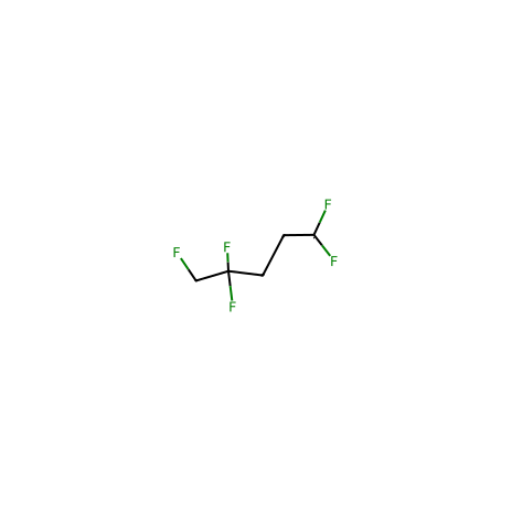 FCC(F)(F)CC[C](F)F